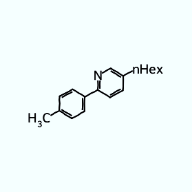 CCCCCCc1ccc(-c2ccc(C)cc2)nc1